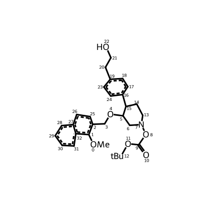 COc1c(COC2CN(OC(=O)OC(C)(C)C)CCC2c2ccc(CCO)cc2)ccc2ccccc12